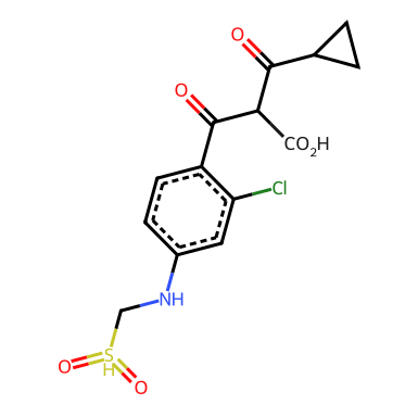 O=C(O)C(C(=O)c1ccc(NC[SH](=O)=O)cc1Cl)C(=O)C1CC1